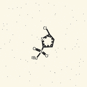 CC(C)(C)S(=O)(=O)c1ccc(Cl)s1